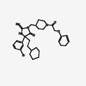 N=C1NC(CCC2CCCCC2)(c2cccc(Br)c2)C(=O)N1CC1CCN(C(=O)COC2=CCCC=C2)CC1